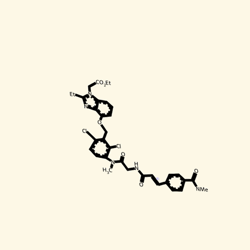 CCOC(=O)Cn1c(CC)nc2c(OCc3c(Cl)ccc(N(C)C(=O)CNC(=O)/C=C/c4ccc(C(=O)NC)cc4)c3Cl)cccc21